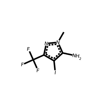 Cn1nc(C(F)(F)F)c(I)c1N